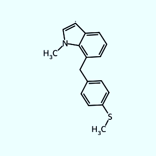 CSc1ccc(Cc2cccc3[c]cn(C)c23)cc1